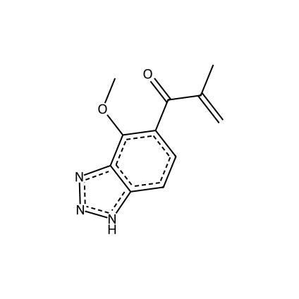 C=C(C)C(=O)c1ccc2[nH]nnc2c1OC